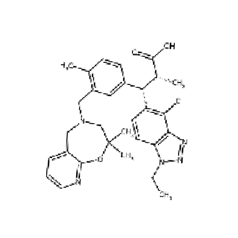 CCn1nnc2c(Cl)c([C@H](c3ccc(C)c(CN4Cc5cccnc5OC(C)(C)C4)c3)[C@@H](C)C(=O)O)ccc21